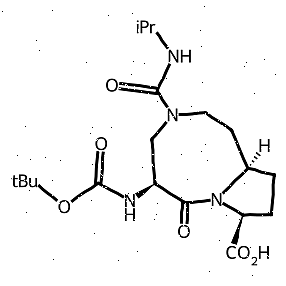 CC(C)NC(=O)N1CC[C@H]2CC[C@@H](C(=O)O)N2C(=O)[C@@H](NC(=O)OC(C)(C)C)C1